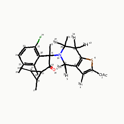 [2H]c1c(OC(C)=O)sc2c1C([2H])([2H])N(C(C)(C(=O)C1C(C)C1C)c1c(F)ccc(C)c1C)C([2H])(C)C2([2H])[2H]